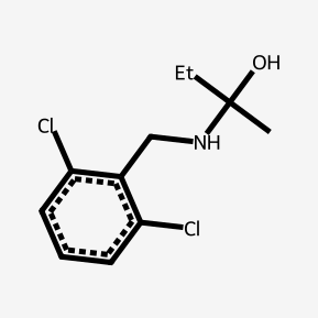 CCC(C)(O)NCc1c(Cl)cccc1Cl